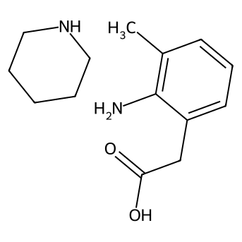 C1CCNCC1.Cc1cccc(CC(=O)O)c1N